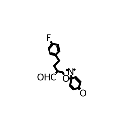 CN(C)C1(OCC(C=O)CCc2ccc(F)cc2)C=CC(=O)C=C1